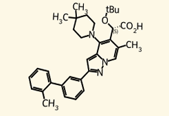 Cc1ccccc1-c1cccc(-c2cc3c(N4CCC(C)(C)CC4)c([C@H](OC(C)(C)C)C(=O)O)c(C)cn3n2)c1